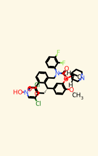 COc1ccc([C@H](Cc2c(Cl)c[n+](O)cc2Cl)c2c(CN(C(=O)O[C@H]3CN4CCC3CC4)c3cccc(F)c3F)cccc2C(=O)[O-])cc1OC